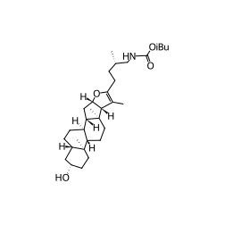 CC1=C(CC[C@H](C)CNC(=O)OCC(C)C)O[C@H]2C[C@H]3[C@@H]4CC[C@H]5C[C@@H](O)CC[C@]5(C)[C@H]4CC[C@]3(C)[C@@H]12